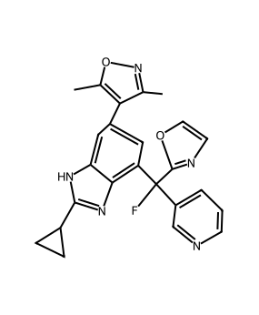 Cc1noc(C)c1-c1cc(C(F)(c2cccnc2)c2ncco2)c2nc(C3CC3)[nH]c2c1